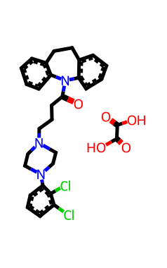 O=C(CCCN1CCN(c2cccc(Cl)c2Cl)CC1)N1c2ccccc2CCc2ccccc21.O=C(O)C(=O)O